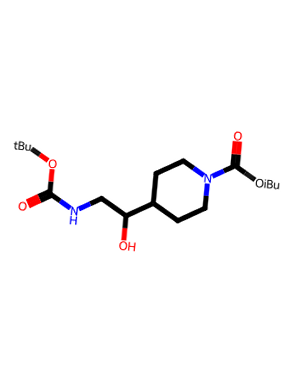 CC(C)COC(=O)N1CCC(C(O)CNC(=O)OC(C)(C)C)CC1